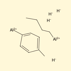 CCC[CH2][Al+2].Cc1cc[c]([Al+2])cc1.[H-].[H-].[H-].[H-]